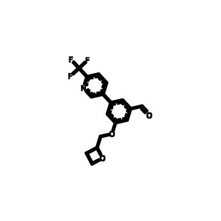 O=Cc1cc(OCC2CCO2)cc(-c2ccc(C(F)(F)F)nc2)c1